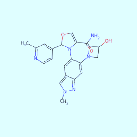 Cc1cc(C2OC=C(C(N)=O)N2c2cc3cn(C)nc3cc2N2CC(O)C2)ccn1